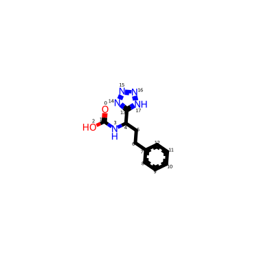 O=C(O)NC(CCc1ccccc1)c1nnn[nH]1